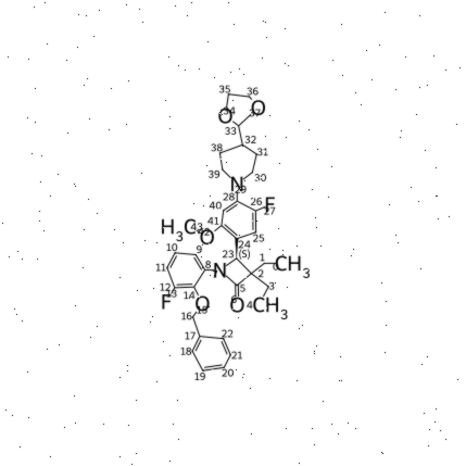 CCC1(CC)C(=O)N(c2cccc(F)c2OCc2ccccc2)[C@H]1c1cc(F)c(N2CCC(C3OCCO3)CC2)cc1OC